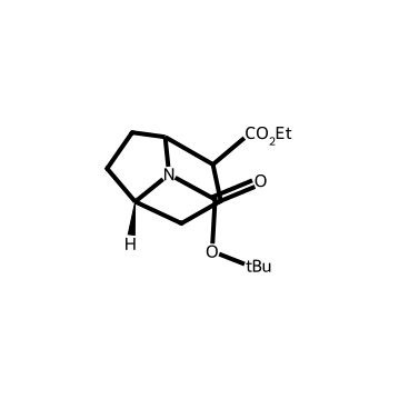 CCOC(=O)C1CC[C@@H]2CCC1N2C(=O)OC(C)(C)C